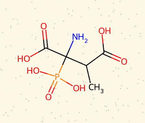 CC(C(=O)O)C(N)(C(=O)O)P(=O)(O)O